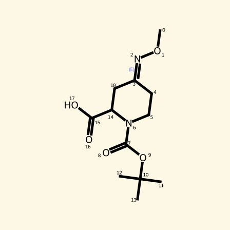 CO/N=C1\CCN(C(=O)OC(C)(C)C)C(C(=O)O)C1